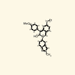 CCOc1cnc2c(n1)=C(c1ccc(OC)cc1)C(O)N(c1ccc3nn(C)cc3c1)C=2